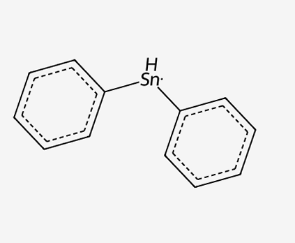 c1cc[c]([SnH][c]2ccccc2)cc1